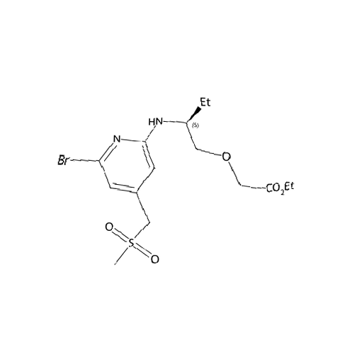 CCOC(=O)COC[C@H](CC)Nc1cc(CS(C)(=O)=O)cc(Br)n1